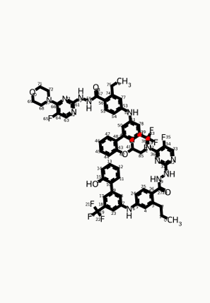 CCCc1cc(Nc2cc(-c3ccccc3O)cc(C(F)(F)F)c2)ccc1C(=O)NNc1ncc(F)c(N2CCOC(Oc3ccccc3-c3cc(Nc4ccc(C(=O)NNc5ncc(F)c(N6CCOCC6)n5)c(CC)c4)cc(C(F)(F)F)c3)C2)n1